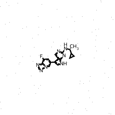 C[C@@H](Nc1ncc2c(-c3cc(F)c4ncnn4c3)c[nH]c2n1)C1CC1